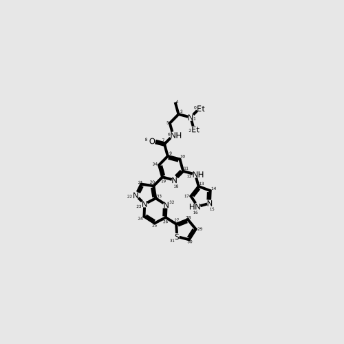 CCN(CC)C(C)CNC(=O)c1cc(Nc2cn[nH]c2)nc(-c2cnn3ccc(-c4cccs4)nc23)c1